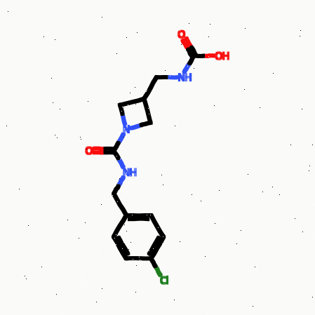 O=C(O)NCC1CN(C(=O)NCc2ccc(Cl)cc2)C1